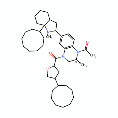 CC(=O)N1c2ccc(C3CC4CCCCC4(C4CCCCCCCC4)N3C)cc2N(C(=O)C2CC(C3CCCCCCCC3)CO2)C[C@@H]1C